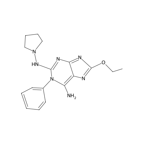 CCOc1nc2nc(NN3CCCC3)n(-c3ccccc3)c(N)c-2n1